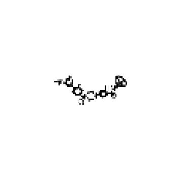 CCOc1cncc(-c2ccc(C(=O)N3CCN(c4ccc(C(=O)NCC56CC7CC(CC(C7)C5)C6)cc4)CC3)cc2C)c1